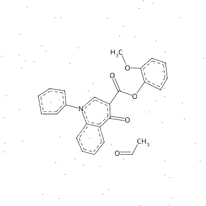 CC=O.COc1ccccc1OC(=O)c1cn(-c2ccccc2)c2ccccc2c1=O